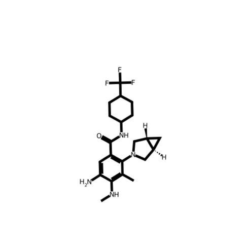 CNc1c(N)cc(C(=O)NC2CCC(C(F)(F)F)CC2)c(N2C[C@@H]3C[C@H]3C2)c1C